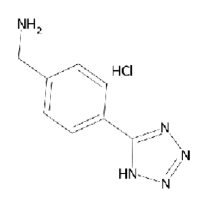 Cl.NCc1ccc(-c2nnn[nH]2)cc1